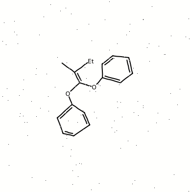 CCC(C)=C(Oc1ccccc1)Oc1ccccc1